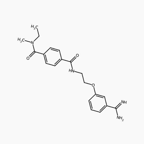 CCN(C)C(=O)c1ccc(C(=O)NCCOc2cccc(C(=N)N)c2)cc1